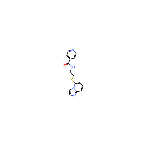 O=C(NCCSc1cccc2nccn12)c1ccncc1